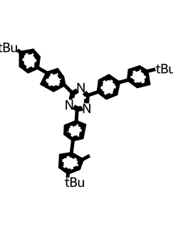 Cc1cc(C(C)(C)C)ccc1-c1ccc(-c2nc(-c3ccc(-c4ccc(C(C)(C)C)cc4)cc3)nc(-c3ccc(-c4ccc(C(C)(C)C)cc4)cc3)n2)cc1